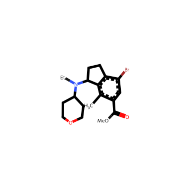 CCN(C1CCOCC1)C1CCc2c(Br)cc(C(=O)OC)c(C)c21